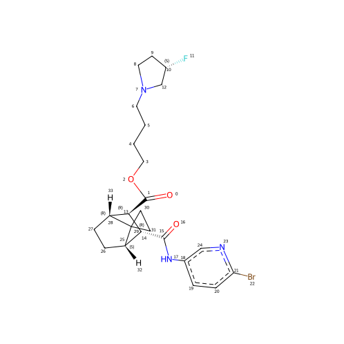 O=C(OCCCCN1CC[C@H](F)C1)[C@H]1[C@H](C(=O)Nc2ccc(Br)nc2)[C@@H]2CC[C@H]1C21CC1